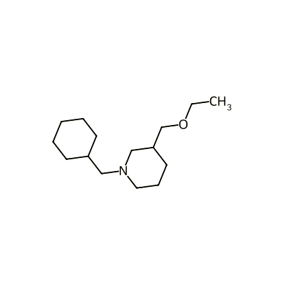 CCOCC1CCCN(CC2CCCCC2)C1